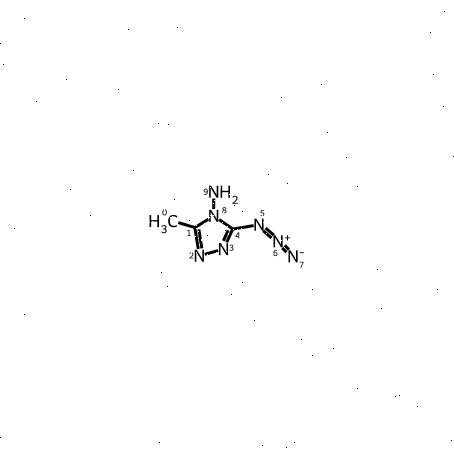 Cc1nnc(N=[N+]=[N-])n1N